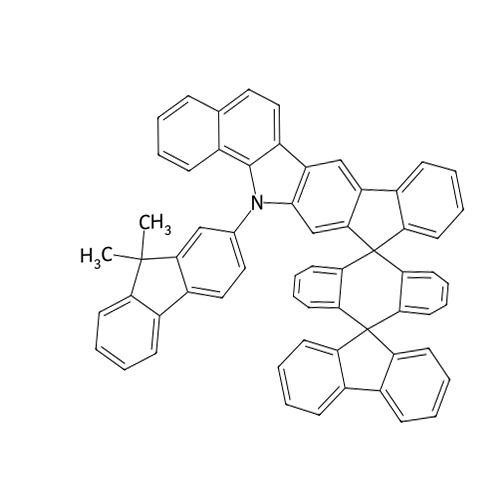 CC1(C)c2ccccc2-c2ccc(-n3c4cc5c(cc4c4ccc6ccccc6c43)-c3ccccc3C53c4ccccc4C4(c5ccccc5-c5ccccc54)c4ccccc43)cc21